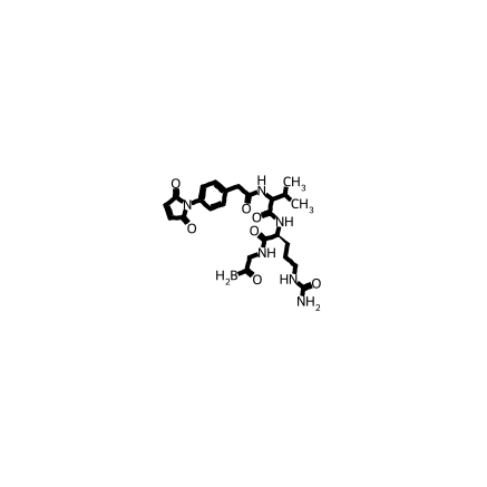 BC(=O)CNC(=O)[C@H](CCCNC(N)=O)NC(=O)C(NC(=O)Cc1ccc(N2C(=O)C=CC2=O)cc1)C(C)C